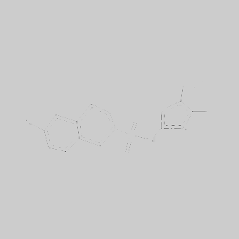 CCOC(=O)c1sc(NS(=O)(=O)c2ccc3cc(N)ccc3c2)nc1C